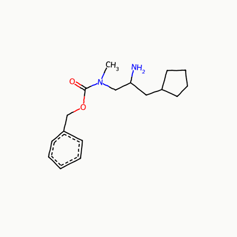 CN(CC(N)CC1CCCC1)C(=O)OCc1ccccc1